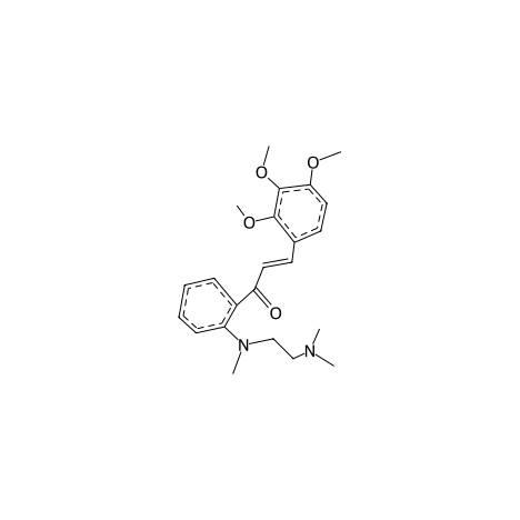 COc1ccc(C=CC(=O)c2ccccc2N(C)CCN(C)C)c(OC)c1OC